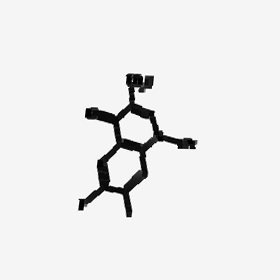 CCCn1cc(C(=O)O)c(=O)c2cc(F)c(C)cc21